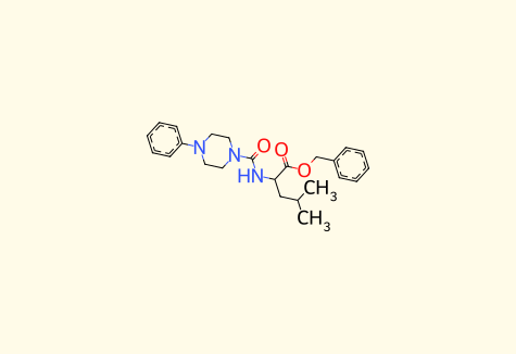 CC(C)CC(NC(=O)N1CCN(c2ccccc2)CC1)C(=O)OCc1ccccc1